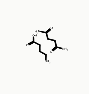 NC(=O)CCC(N)=O.NCCCC(=O)O